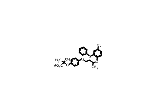 CCc1ccc(OC(C)CCOc2ccc(OC(C)(C)C(=O)O)cc2)c(Sc2ccccc2)c1